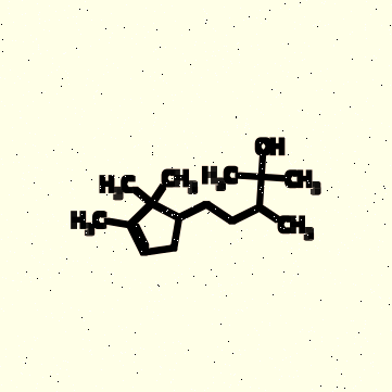 CC1=CCC(CCC(C)C(C)(C)O)C1(C)C